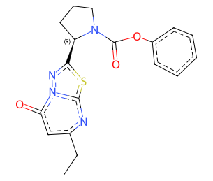 CCc1cc(=O)n2nc([C@H]3CCCN3C(=O)Oc3ccccc3)sc2n1